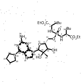 CCOC(=O)[C@@H](NP(=O)(N[C@H](C(=O)OCC)C(C)CC)OC[C@H]1OC(n2cnc3c(N4CCCC4)nc(N)nc32)[C@@](C)(O)C1O)C(C)CC